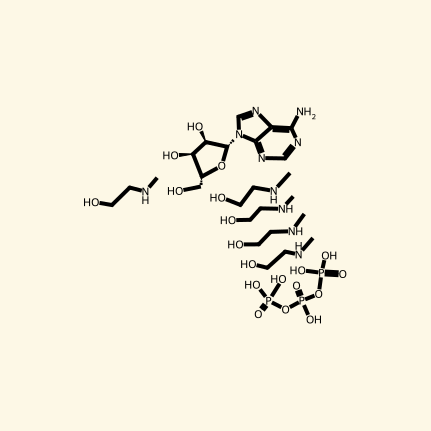 CNCCO.CNCCO.CNCCO.CNCCO.CNCCO.Nc1ncnc2c1ncn2[C@@H]1O[C@H](CO)[C@@H](O)[C@H]1O.O=P(O)(O)OP(=O)(O)OP(=O)(O)O